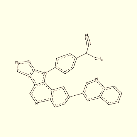 CC(C#N)c1ccc(-n2c3c4cc(-c5cnc6ccccc6c5)ccc4ncc3n3cnnc23)cc1